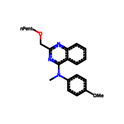 CCCCCOCc1nc(N(C)c2ccc(OC)cc2)c2ccccc2n1